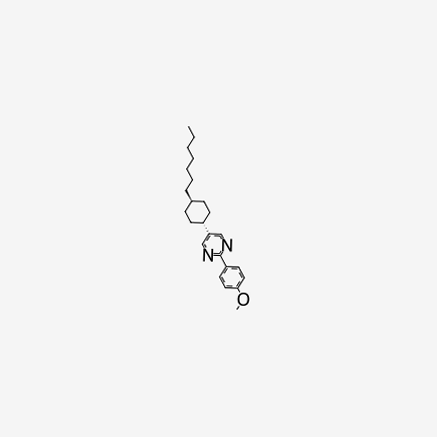 CCCCCCC[C@H]1CC[C@H](c2cnc(-c3ccc(OC)cc3)nc2)CC1